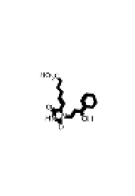 O=C(O)CCCC=CC1C(=O)NC(=O)N1CCC(O)C1CCCCC1